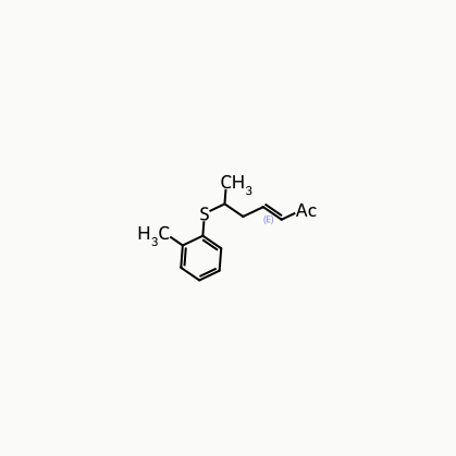 CC(=O)/C=C/CC(C)Sc1ccccc1C